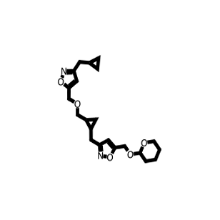 c1c(CC2CC2)noc1COCC1CC1Cc1cc(COC2CCCCO2)on1